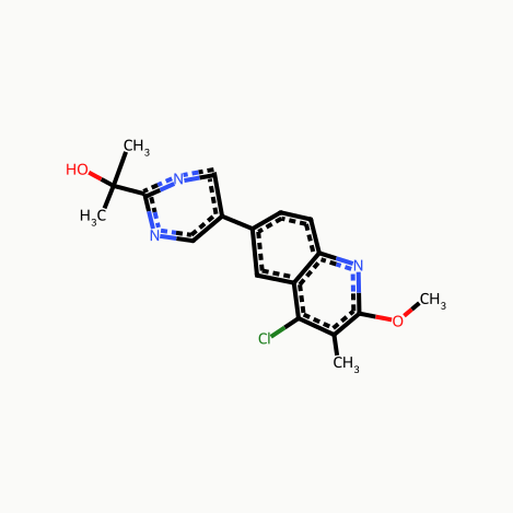 COc1nc2ccc(-c3cnc(C(C)(C)O)nc3)cc2c(Cl)c1C